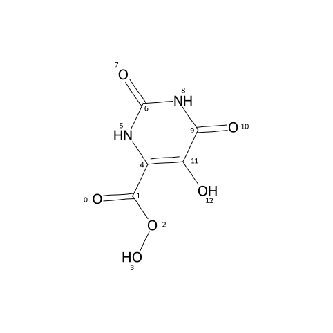 O=C(OO)c1[nH]c(=O)[nH]c(=O)c1O